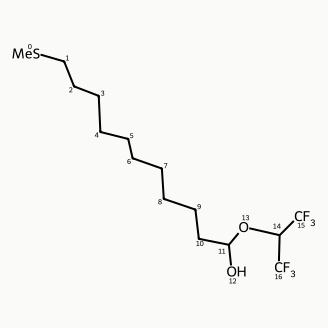 CSCCCCCCCCCCC(O)OC(C(F)(F)F)C(F)(F)F